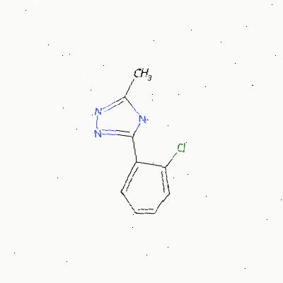 CC1=NN=C(c2ccccc2Cl)[N]1